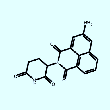 Nc1cc2c3c(cccc3c1)C(=O)N(C1CCC(=O)NC1=O)C2=O